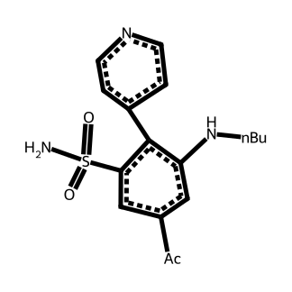 CCCCNc1cc(C(C)=O)cc(S(N)(=O)=O)c1-c1ccncc1